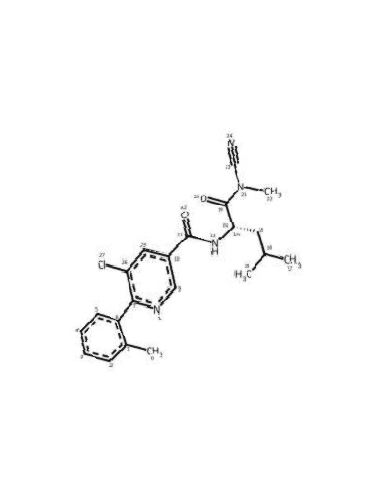 Cc1ccccc1-c1ncc(C(=O)N[C@@H](CC(C)C)C(=O)N(C)C#N)cc1Cl